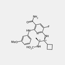 COc1cccc(Nc2nc(N[C@@H](C3CCC3)[C@H](C)NC(=O)O)c(F)cc2C(N)=O)c1